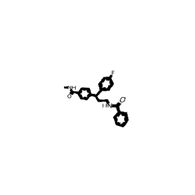 CNC(=O)c1ccc(C(CCNC(=O)c2ccccc2)c2ccc(F)cc2)cc1